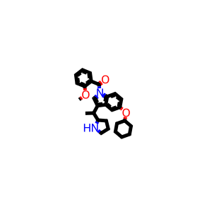 COc1ccccc1C(=O)n1cc(C(C)C2CCCN2)c2cc(OC3CCCCC3)ccc21